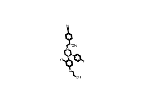 N#Cc1ccc([C@H](O)CN2CCN(c3ccc(OCCO)cc3Cl)[C@H](c3ccc(F)cc3)C2)cc1